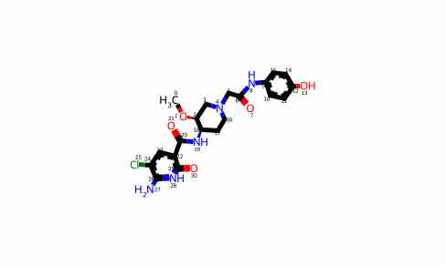 CO[C@H]1CN(CC(=O)Nc2ccc(O)cc2)CC[C@H]1NC(=O)c1cc(Cl)c(N)[nH]c1=O